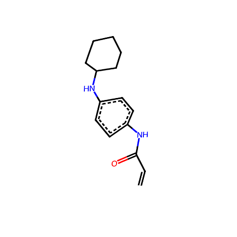 C=CC(=O)Nc1ccc(NC2CCCCC2)cc1